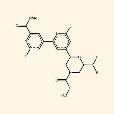 CNC(=O)c1cc(-c2cc(C3CN(C(=O)OC(C)(C)C)CC(C(F)F)O3)cc(Cl)n2)cc(F)n1